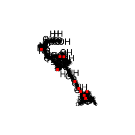 CCCc1cc2c(cc1C)C(c1ccccc1C(=O)N(C)CCCC(=O)NCCOCCOCCC(=O)NCCCCC(NC(=O)C1CCCN1C(=O)CCSSCCC(=O)NCC#Cc1cn([C@H]3CC(O)[C@@H](COPOPOPO)O3)c3ncnc(N)c13)C(=O)N1CCCC1C(=O)NC(CC(=O)O)C(=O)NC(CC(=O)O)C(=O)O)C1C=C(C)/C(=N/CC)C=C1O2